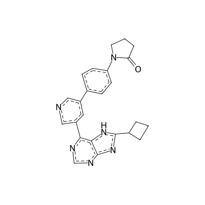 O=C1CCCN1c1ccc(-c2cncc(-c3ncnc4nc(C5CCC5)[nH]c34)c2)cc1